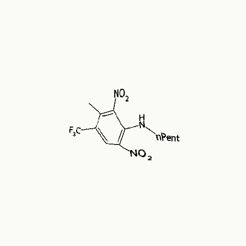 CCCCCNc1c([N+](=O)[O-])cc(C(F)(F)F)c(C)c1[N+](=O)[O-]